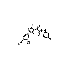 Cc1nn(-c2ccc(C#N)c(Cl)c2)c(C)c1C(=O)C(=O)Nc1ccc(F)cc1